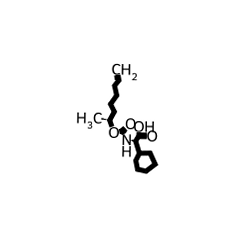 C=CCCCC[C@@H](C)OC(=O)N[C@H](C(=O)O)C1CCCCC1